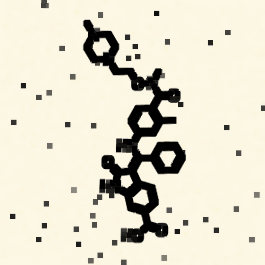 Cc1cc(N/C(=C2\C(=O)Nc3cc(C(=O)O)ccc32)c2ccccc2)ccc1C(=O)N(C)OCCN1CCN(C)CC1